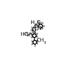 Cc1ccccc1-c1ccc(N2CC[C@H](Oc3ncccc3C)C2)c(CCO)c1